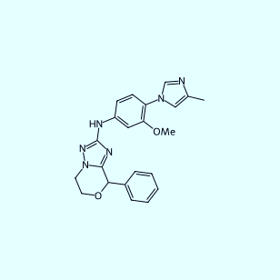 COc1cc(Nc2nc3n(n2)CCOC3c2ccccc2)ccc1-n1cnc(C)c1